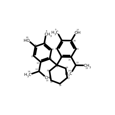 Cc1cc(C2(c3cc(C)c(O)cc3C(C)C)CCCCC2)c(C(C)C)cc1O